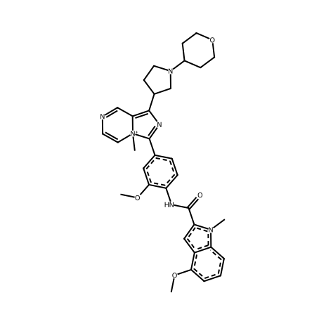 COc1cc(C2=NC(C3CCN(C4CCOCC4)C3)=C3C=NC=C[N+]23C)ccc1NC(=O)c1cc2c(OC)cccc2n1C